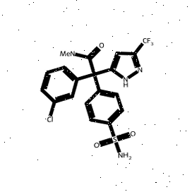 CNC(=O)C(c1ccc(S(N)(=O)=O)cc1)(c1cccc(Cl)c1)c1cc(C(F)(F)F)n[nH]1